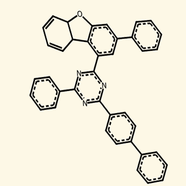 C1=CC2Oc3cc(-c4ccccc4)cc(-c4nc(-c5ccccc5)nc(-c5ccc(-c6ccccc6)cc5)n4)c3C2C=C1